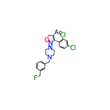 CC(=O)C1=C(c2ccc(Cl)cc2Cl)N(N2CCN(Cc3cccc(CF)c3)CC2)OC1